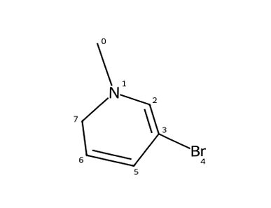 CN1C=C(Br)C=CC1